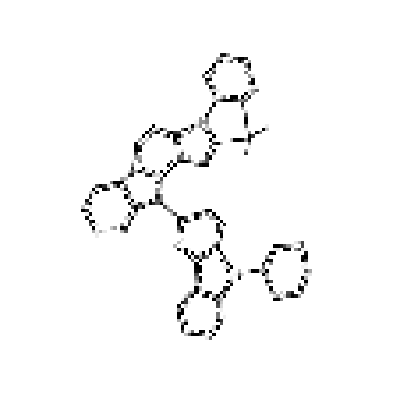 CC1(C)c2ccccc2-n2c1cc1c2ccc2c3ccccc3n(-c3ccc4c(c3)c3ccccc3n4-c3ccccc3)c21